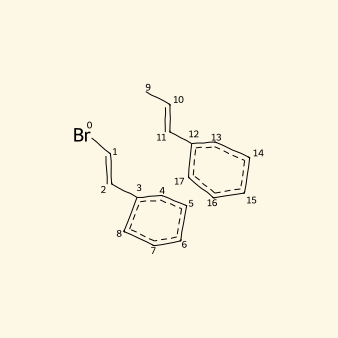 BrC=Cc1ccccc1.CC=Cc1ccccc1